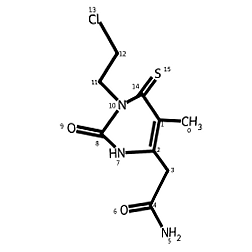 Cc1c(CC(N)=O)[nH]c(=O)n(CCCl)c1=S